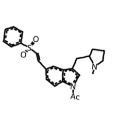 CC(=O)n1cc(CC2CCCN2C)c2cc(C=CS(=O)(=O)c3ccccc3)ccc21